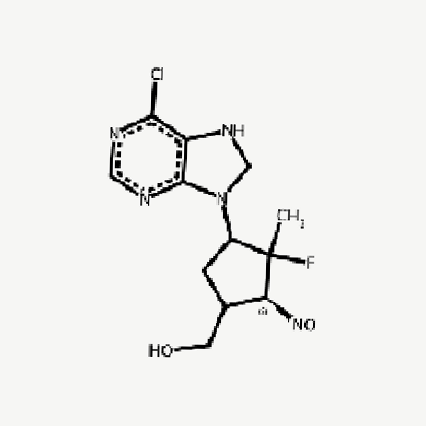 CC1(F)C(N2CNc3c(Cl)ncnc32)CC(CO)[C@@H]1N=O